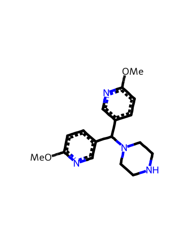 COc1ccc(C(c2ccc(OC)nc2)N2CCNCC2)cn1